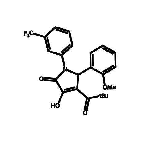 COc1ccccc1C1C(C(=O)C(C)(C)C)=C(O)C(=O)N1c1cccc(C(F)(F)F)c1